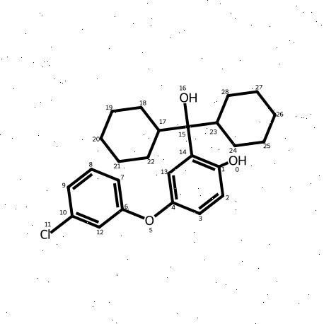 Oc1ccc(Oc2cccc(Cl)c2)cc1C(O)(C1CCCCC1)C1CCCCC1